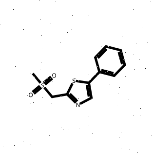 [CH2]S(=O)(=O)Cc1ncc(-c2ccccc2)s1